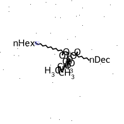 CCCCCC/C=C/CCCCCCCCCC(=O)O[C@H](COC(=O)CCCCCCCCCCCCCCC)COP(=O)([O-])OCC[N+](C)(C)C